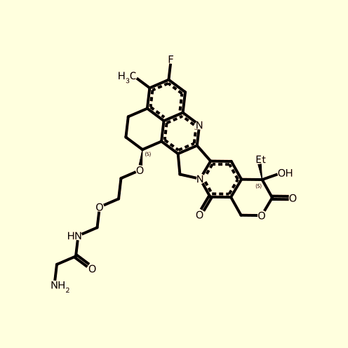 CC[C@@]1(O)C(=O)OCc2c1cc1n(c2=O)Cc2c-1nc1cc(F)c(C)c3c1c2[C@@H](OCCOCNC(=O)CN)CC3